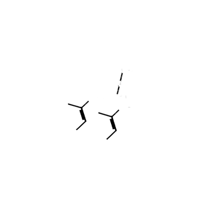 CC=C(C)C(=O)[O-].CC=C(C)C(=O)[O-].CCC[CH2][Sn+2][CH2]CCC